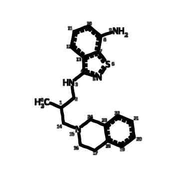 CC(CNc1nsc2c(N)cccc12)CN1CCc2ccccc2C1